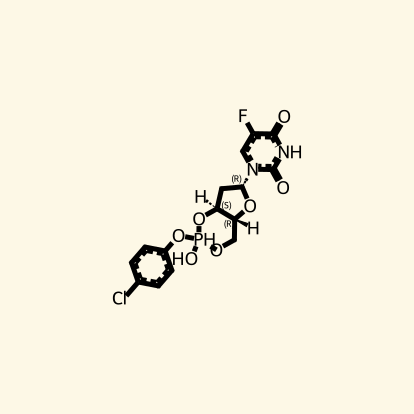 O=c1[nH]c(=O)n([C@H]2C[C@@H]3O[PH](O)(Oc4ccc(Cl)cc4)OC[C@H]3O2)cc1F